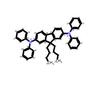 CCCCC1(CCCC)c2cc(N(c3ccccc3)c3ccccc3)ccc2-c2ccc(N(c3ccccc3)c3ccccc3)cc21